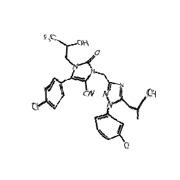 CC(O)c1nc(Cn2c(C#N)c(-c3ccc(Cl)cc3)n(CC(O)C(F)(F)F)c2=O)nn1-c1cccc(Cl)c1